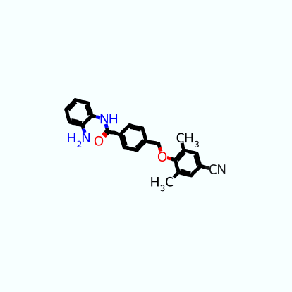 Cc1cc(C#N)cc(C)c1OCc1ccc(C(=O)Nc2ccccc2N)cc1